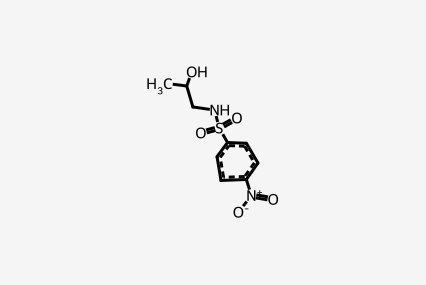 CC(O)CNS(=O)(=O)c1ccc([N+](=O)[O-])cc1